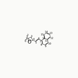 CC1(C)CC(/C=C/c2cccc3ccccc23)O1